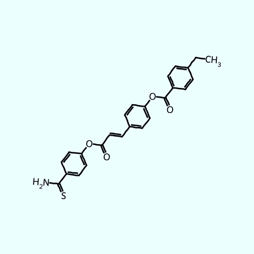 CCc1ccc(C(=O)Oc2ccc(/C=C/C(=O)Oc3ccc(C(N)=S)cc3)cc2)cc1